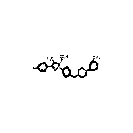 COc1cccc(N2CCC(Cc3ccc(N4N=C(c5ccc(F)cc5)[C@@H](C)[C@@H]4CC(=O)O)cc3)CC2)c1